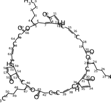 CCCCC[C@H]1CC=C2C(=O)C=C[C@@H]2CC=CCCCC(=O)O[C@@H](CCCCC)CC=C2C(=O)C=C[C@@H]2CC=CCCCC(=O)O[C@@H](CCCCC)CC=C2C(=O)C=C[C@@H]2CC=CCCCC(=O)O1